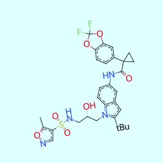 Cc1oncc1S(=O)(=O)NC[C@H](O)Cn1c(C(C)(C)C)cc2cc(NC(=O)C3(c4ccc5c(c4)OC(F)(F)O5)CC3)ccc21